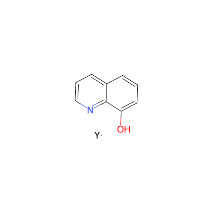 Oc1cccc2cccnc12.[Y]